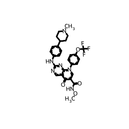 CONC(=O)c1cn(-c2ccc(OC(F)(F)F)cc2)c2nc(Nc3ccc(C4CCN(C)CC4)cc3)ncc2c1=O